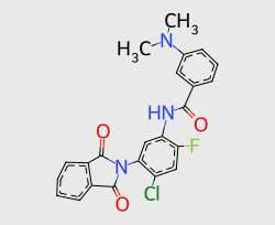 CN(C)c1cccc(C(=O)Nc2cc(N3C(=O)c4ccccc4C3=O)c(Cl)cc2F)c1